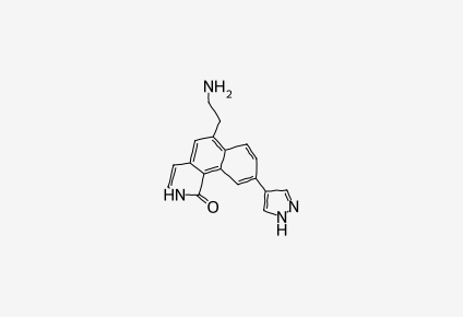 NCCc1cc2cc[nH]c(=O)c2c2cc(-c3cn[nH]c3)ccc12